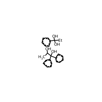 CC(O)C(O)(c1ccccc1)c1ccccc1.CCC(O)(O)c1ccccc1